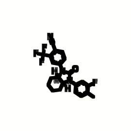 Cc1ccc(N2C(=O)N(c3ccc(C#N)c(C(F)(F)F)c3)[C@H]3CCCC[C@@H]32)cc1F